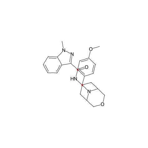 COc1ccc(CN2C3COCC2CC(NC(=O)c2nn(C)c4ccccc24)C3)cc1